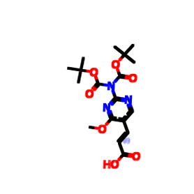 COc1nc(N(C(=O)OC(C)(C)C)C(=O)OC(C)(C)C)ncc1/C=C/C(=O)O